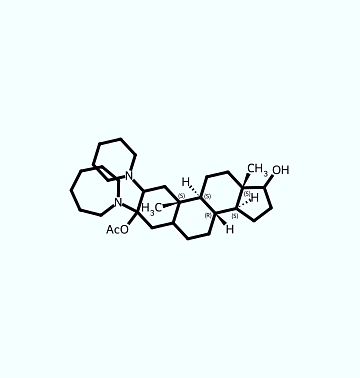 CC(=O)OC1(N2CCCCCC2)CC2CC[C@@H]3[C@H](CC[C@]4(C)C(O)CC[C@@H]34)[C@@]2(C)CC1N1CCCCC1